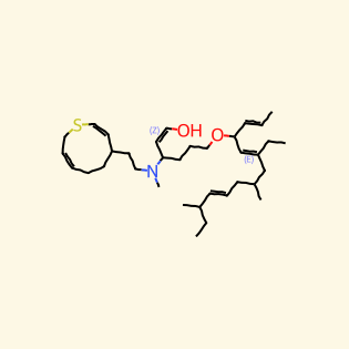 CC=CC(/C=C(\CC)CC(C)CC=CC(C)CC)OCCCC(/C=C\O)N(C)CCC1C=CSCC=CCC1